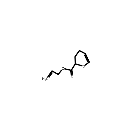 C=CCOC(=O)C1CCC=CO1